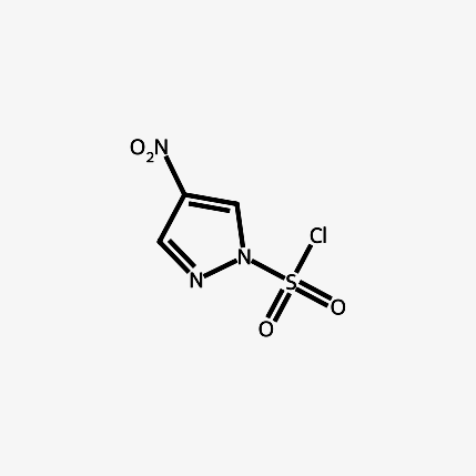 O=[N+]([O-])c1cnn(S(=O)(=O)Cl)c1